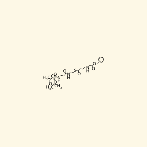 CC1(C)OCC(C)(C)[C@H](C(=O)NCCC(=O)NCCSC(=O)CCCNCC(=O)OCc2ccccc2)O1